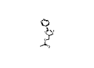 CC(=O)SCC1COC(c2ccccc2)=N1